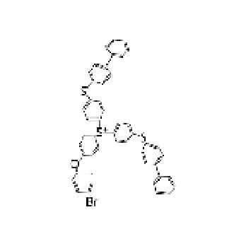 Brc1ccc(Oc2ccc([S+](c3ccc(Sc4ccc(-c5ccccc5)cc4)cc3)c3ccc(Sc4ccc(-c5ccccc5)cc4)cc3)cc2)cc1